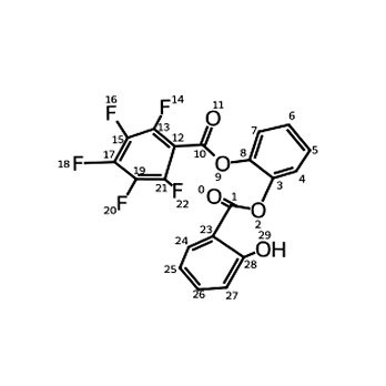 O=C(Oc1ccccc1OC(=O)c1c(F)c(F)c(F)c(F)c1F)c1ccccc1O